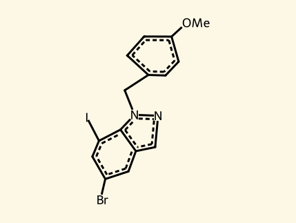 COc1ccc(Cn2ncc3cc(Br)cc(I)c32)cc1